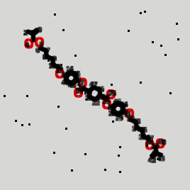 C=C(C)C(=O)OCCCCCCOc1ccc(OC(=O)C2CCC(C(=O)Oc3ccc(OCCCCCCOC(=O)C(=C)C)cc3)CC2)cc1